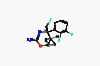 NC1=N[C@](CF)(c2cccc(F)c2F)[C@H]2C[C@H]2O1